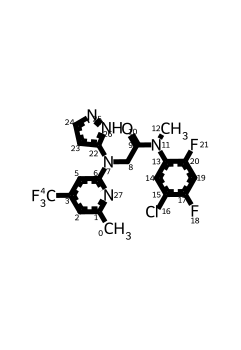 Cc1cc(C(F)(F)F)cc(N(CC(=O)N(C)c2cc(Cl)c(F)cc2F)c2ccn[nH]2)n1